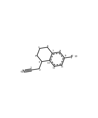 N#CCC1CCCc2cc(F)ccc21